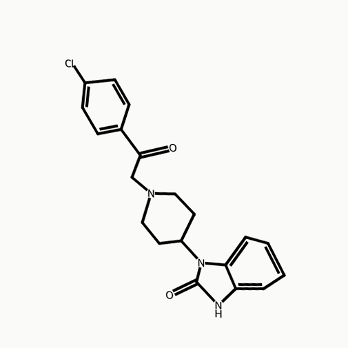 O=C(CN1CCC(n2c(=O)[nH]c3ccccc32)CC1)c1ccc(Cl)cc1